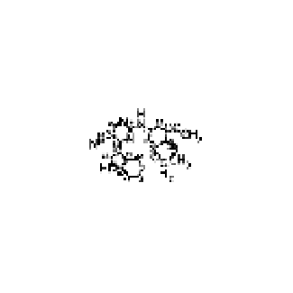 COc1cc(Nc2ncc(C#N)c(-c3c[nH]c4ccccc34)n2)cc(OC)c1OC